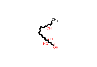 CC/C=C\C[C@@H](O)/C=C/C=C\C\C=C/C=C/C=C/[C@@H](O)[C@@H](O)CCC(=O)O